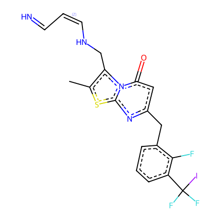 Cc1sc2nc(Cc3cccc(C(F)(F)I)c3F)cc(=O)n2c1CN/C=C\C=N